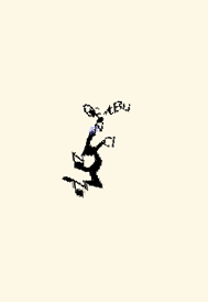 CN(C)Cc1cnc(/C=N/[S+]([O-])C(C)(C)C)c(Cl)c1